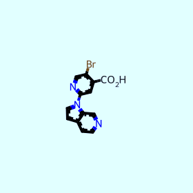 O=C(O)c1cc(-n2ccc3ccncc32)ncc1Br